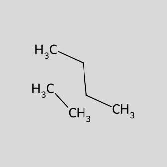 CC.CCCC